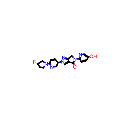 O=C1c2cn(C3C=CC(N4CC[C@H](F)C4)=NC3)nc2CN1c1ccc(O)cn1